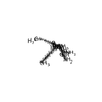 CCCCCCCCC=CCCCCCCCC(=O)OCC(C[N+](C)(C)CCNCC(CCC(=O)NCCCN)NCCCN)OC(=O)CCCCCCCC=CCCCCCCCC